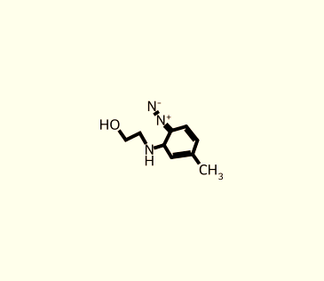 CC1=CC(NCCO)C(=[N+]=[N-])C=C1